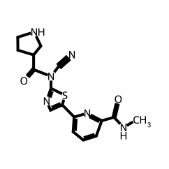 CNC(=O)c1cccc(-c2cnc(N(C#N)C(=O)C3CCNC3)s2)n1